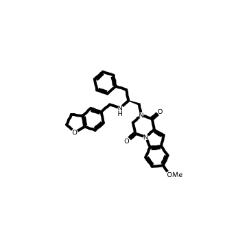 COc1ccc2c(c1)cc1n2C(=O)CN(C[C@H](Cc2ccccc2)NCc2ccc3c(c2)CCO3)C1=O